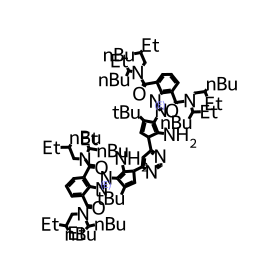 CCCCC(CC)CN(C(=O)c1cccc(C(=O)N(CC(CC)CCCC)C(CC)CCCC)c1/N=N/C1=C(N)C(c2cc(C3C=C(C(C)(C)C)C(/N=N/c4c(C(=O)N(CC(CC)CCCC)C(CC)CCCC)cccc4C(=O)N(CC(CC)CCCC)C(CC)CCCC)=C3N)ncn2)C=C1C(C)(C)C)C(CC)CCCC